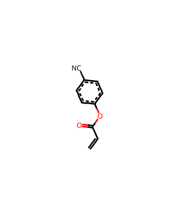 C=CC(=O)Oc1ccc(C#N)cc1